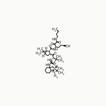 C#CCCC(NC(=O)[C@@H]1[C@@H]2[C@H](CN1C(=O)[C@@H](NC(=O)NC1(CS(=O)(=O)C(C)(C)C)CCCCC1)C(C)(C)C)C2(C)C)C(=O)C(=O)NCCC=C